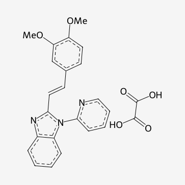 COc1ccc(/C=C/c2nc3ccccc3n2-c2ccccn2)cc1OC.O=C(O)C(=O)O